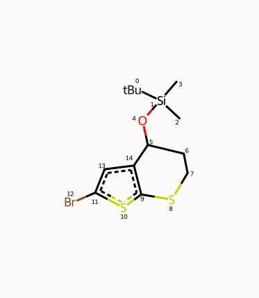 CC(C)(C)[Si](C)(C)OC1CCSc2sc(Br)cc21